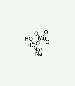 OO.[Na+].[Na+].[O]=[Mn](=[O])([O-])[O-]